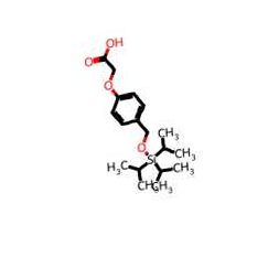 CC(C)[Si](OCc1ccc(OCC(=O)O)cc1)(C(C)C)C(C)C